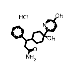 Cl.NC(=O)CC(c1ccccc1)C1CCC(O)(c2ccc(O)cn2)CC1